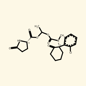 CC(OC(=O)[C@@H]1CCC(=O)N1)OC(=O)N(C)[C@]1(c2ccccc2Cl)CCCCC1=O